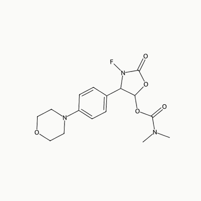 CN(C)C(=O)OC1OC(=O)N(F)C1c1ccc(N2CCOCC2)cc1